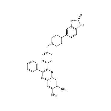 Nc1cc2nc(-c3ccccc3)c(-c3ccc(CN4CCC(c5ccc6c(c5)[N]C(=O)N6)CC4)cc3)nc2cc1N